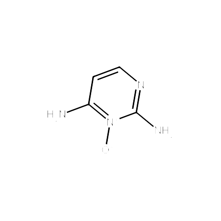 Nc1ccnc(N)[n+]1[O-]